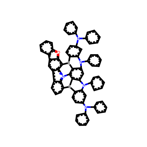 c1ccc(N(c2ccccc2)c2ccc3c(c2)N(c2ccccc2)c2cc4c5c6c2B3c2cccc3c7cc8c(oc9ccccc98)c(c7n-6c23)B5c2ccc(N(c3ccccc3)c3ccccc3)cc2N4c2ccccc2)cc1